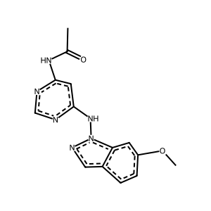 COc1ccc2cnn(Nc3cc(NC(C)=O)ncn3)c2c1